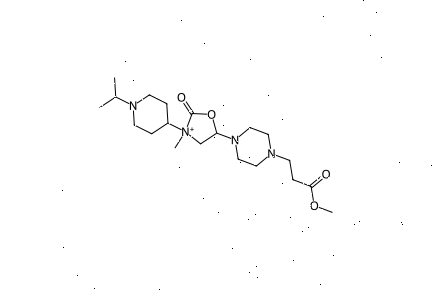 COC(=O)CCN1CCN(C2C[N+](C)(C3CCN(C(C)C)CC3)C(=O)O2)CC1